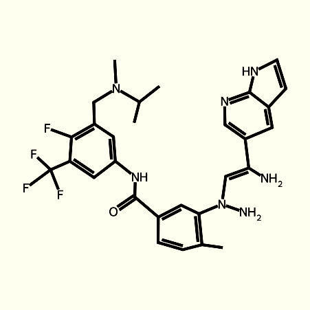 Cc1ccc(C(=O)Nc2cc(CN(C)C(C)C)c(F)c(C(F)(F)F)c2)cc1N(N)/C=C(\N)c1cnc2[nH]ccc2c1